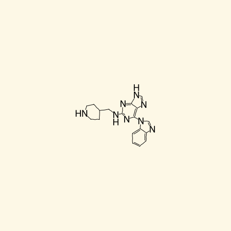 c1ccc2c(c1)ncn2-c1nc(NCC2CCNCC2)nc2[nH]cnc12